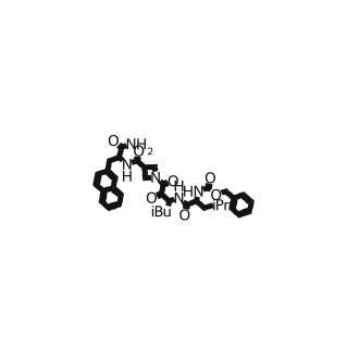 CCC(C)C(NC(=O)C(CC(C)C)NC(=O)OCc1ccccc1)C(=O)C(=O)N1CC(C(=O)NC(Cc2ccc3ccccc3c2)C(N)=O)C1